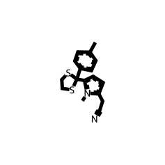 Cc1ccc(C2(c3ccc(CC#N)n3C)SCCS2)cc1